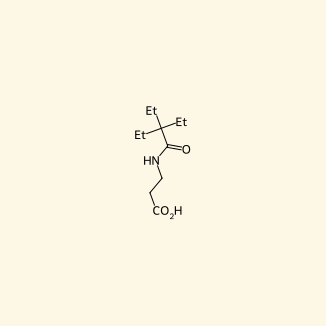 CCC(CC)(CC)C(=O)NCCC(=O)O